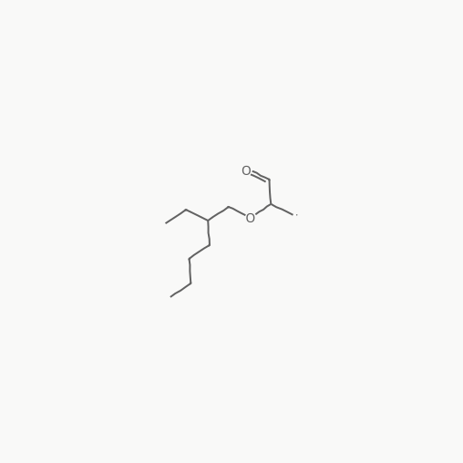 [CH2]C(C=O)OCC(CC)CCCC